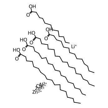 CCCCCCCCCCCC(=O)O.CCCCCCCCCCCCCC(=O)O.CCCCCCCCCCCCCCCCCC(=O)O.CCCCCCCCCCCCCCCCCC(=O)O.CCCCCCCCCCCCCCCCCC(=O)O.[Al+3].[Ca+2].[Li+].[Zn+2].[Zn+2]